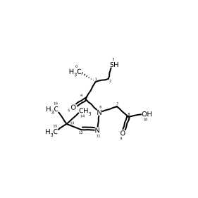 C[C@H](CS)C(=O)N(CC(=O)O)/N=C\C(C)(C)C